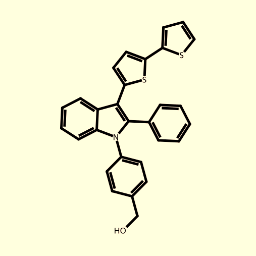 OCc1ccc(-n2c(-c3ccccc3)c(-c3ccc(-c4cccs4)s3)c3ccccc32)cc1